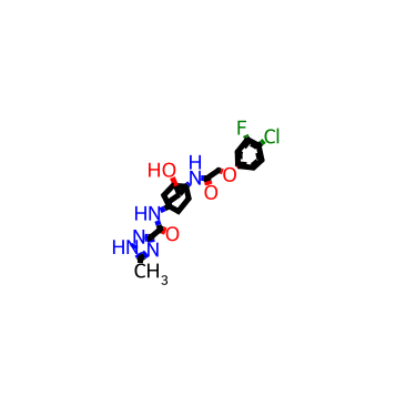 Cc1nc(C(=O)NC23CCC(NC(=O)COc4ccc(Cl)c(F)c4)(CC2)C(O)C3)n[nH]1